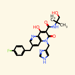 CC(C)(CO)NC(=O)c1c(O)c2ncc(Cc3ccc(F)cc3)cc2n(Cc2c[nH]cn2)c1=O